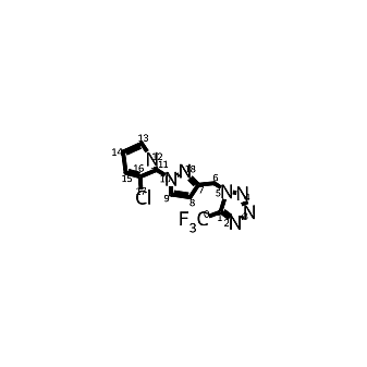 FC(F)(F)c1nnnn1Cc1ccn(-c2ncccc2Cl)n1